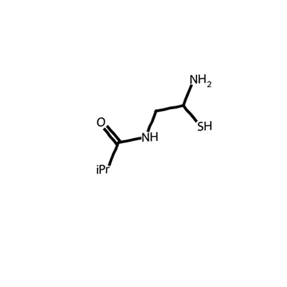 CC(C)C(=O)NCC(N)S